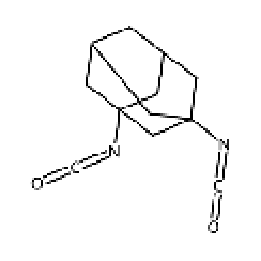 O=C=NC12CC3CC(C1)CC(N=C=O)(C3)C2